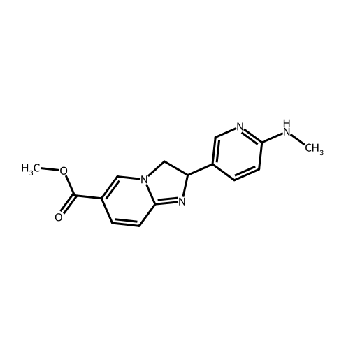 CNc1ccc(C2CN3C=C(C(=O)OC)C=CC3=N2)cn1